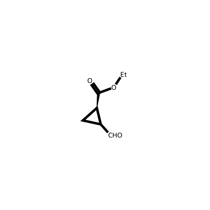 CCOC(=O)[C@@H]1CC1C=O